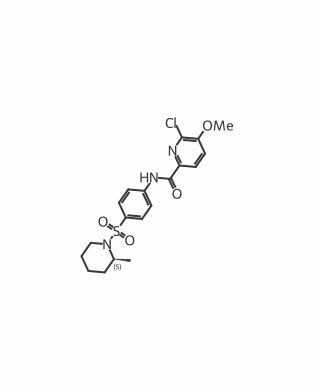 COc1ccc(C(=O)Nc2ccc(S(=O)(=O)N3CCCC[C@@H]3C)cc2)nc1Cl